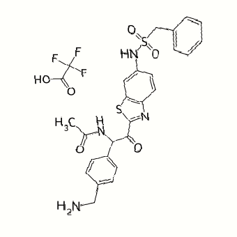 CC(=O)NC(C(=O)c1nc2ccc(NS(=O)(=O)Cc3ccccc3)cc2s1)c1ccc(CN)cc1.O=C(O)C(F)(F)F